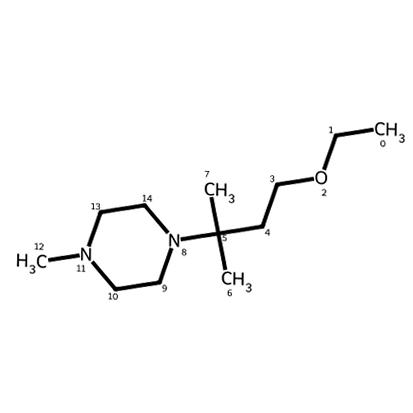 CCOCCC(C)(C)N1CCN(C)CC1